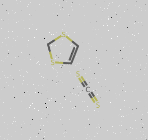 C1=CSCS1.S=C=S